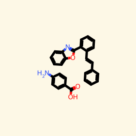 C(=Cc1ccccc1-c1nc2ccccc2o1)c1ccccc1.Nc1ccc(C(=O)O)cc1